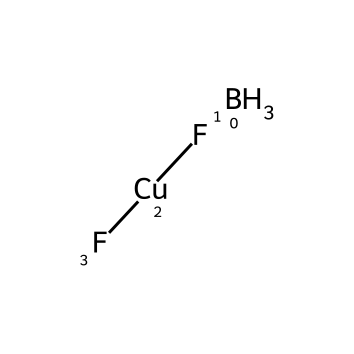 B.[F][Cu][F]